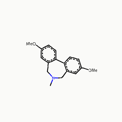 COc1ccc2c(c1)CN(C)Cc1cc(OC)ccc1-2